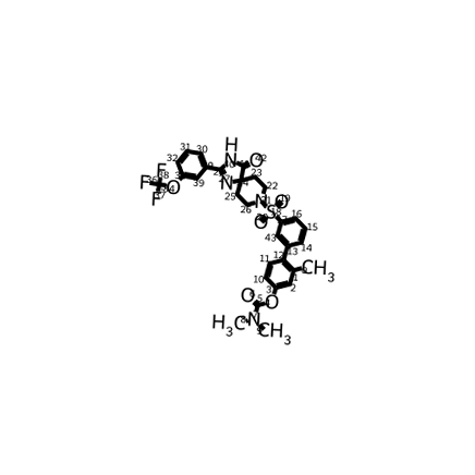 Cc1cc(OC(=O)N(C)C)ccc1-c1cccc(S(=O)(=O)N2CCC3(CC2)N=C(c2cccc(OC(F)(F)F)c2)NC3=O)c1